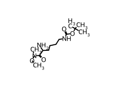 CON(C)C(=O)C(N)CCCCNC(=O)OC(C)(C)C